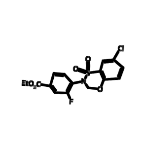 CCOC(=O)c1ccc(N2COc3ccc(Cl)cc3S2(=O)=O)c(F)c1